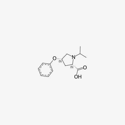 CC(C)N1C[C@@H](Oc2ccccc2)C[C@H]1C(=O)O